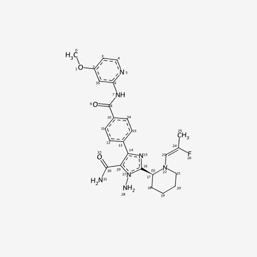 COc1ccnc(NC(=O)c2ccc(-c3nc([C@@H]4CCCCN4C=C(C)F)n(N)c3C(N)=O)cc2)c1